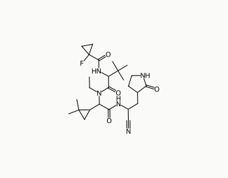 CCN(C(=O)C(NC(=O)C1(F)CC1)C(C)(C)C)C(C(=O)NC(C#N)CC1CCNC1=O)C1CC1(C)C